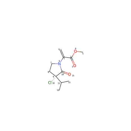 C=C(C(=O)OC)N1CC[C@](Cl)(C(C)C)C1=O